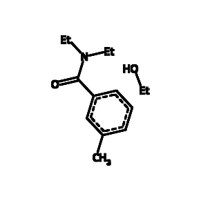 CCN(CC)C(=O)c1cccc(C)c1.CCO